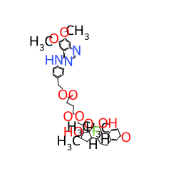 COc1cc2ncnc(Nc3ccc(CCOC(=O)CCC(=O)OCC(=O)[C@@]4(O)[C@H](C)C[C@H]5[C@@H]6CCC7=CC(=O)C=C[C@]7(C)[C@@]6(F)[C@@H](O)C[C@@]54C)cc3)c2cc1OC